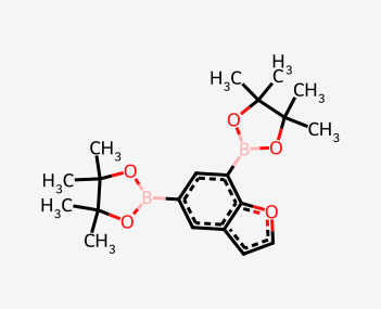 CC1(C)OB(c2cc(B3OC(C)(C)C(C)(C)O3)c3occc3c2)OC1(C)C